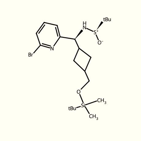 CC(C)(C)[S@@+]([O-])N[C@H](c1cccc(Br)n1)C1CC(CO[Si](C)(C)C(C)(C)C)C1